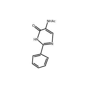 CC(=O)Nc1cnc(-c2ccccc2)[nH]c1=O